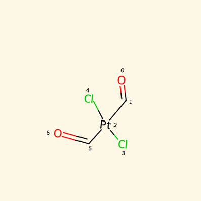 O=[CH][Pt]([Cl])([Cl])[CH]=O